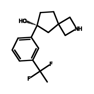 CC(F)(F)c1cccc([C@@]2(O)CCC3(CNC3)C2)c1